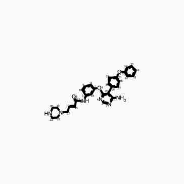 Nc1ncnc(Oc2cccc(NC(=O)C=CCN3CCNCC3)c2)c1-c1ccc(Oc2ccccc2)cc1